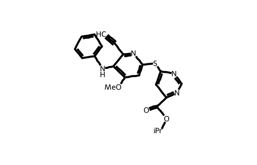 C#Cc1nc(Sc2cc(C(=O)OC(C)C)ncn2)cc(OC)c1Nc1ccccc1